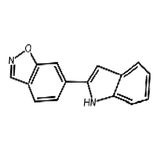 c1ccc2[nH]c(-c3ccc4cnoc4c3)cc2c1